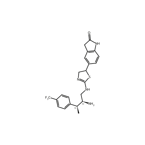 C[C@@H](c1ccc(C(F)(F)F)cc1)[C@H](N)CNC1=NCC(c2ccc3c(c2)CC(=O)N3)S1